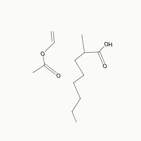 C=COC(C)=O.CCCCCCC(C)C(=O)O